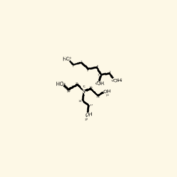 OCCCCC(O)CO.OCCN(CCO)CCO